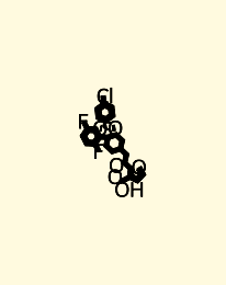 O=C(O)c1ccoc1C(=O)CC1CCC(c2cc(F)ccc2F)(S(=O)(=O)c2ccc(Cl)cc2)CC1